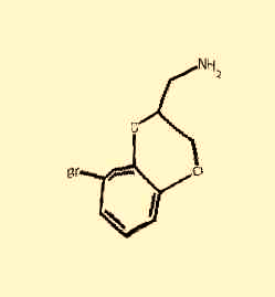 NCC1COc2cccc(Br)c2O1